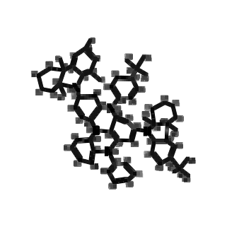 Cc1cc(C)c2c(c1)C1(C)CCCCC1(C)N2c1ccc2c(c1)N(c1ccc(C(C)(C)C)cc1)c1cc(N3c4ccc(C(C)(C)C)cc4C4(C)CCCCC34C)cc3c1B2c1ccccc1N3c1ccccc1